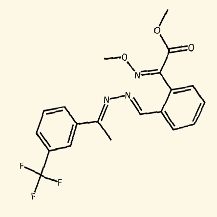 CON=C(C(=O)OC)c1ccccc1C=NN=C(C)c1cccc(C(F)(F)F)c1